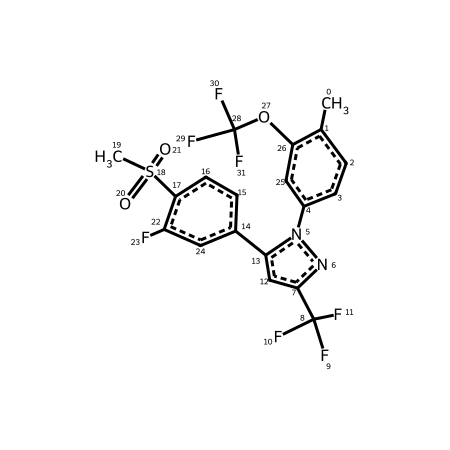 Cc1ccc(-n2nc(C(F)(F)F)cc2-c2ccc(S(C)(=O)=O)c(F)c2)cc1OC(F)(F)F